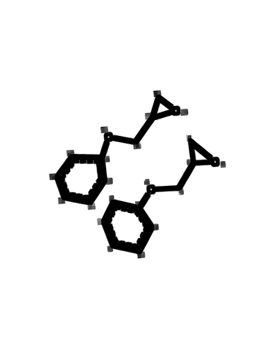 c1ccc(OCC2CO2)cc1.c1ccc(OCC2CO2)cc1